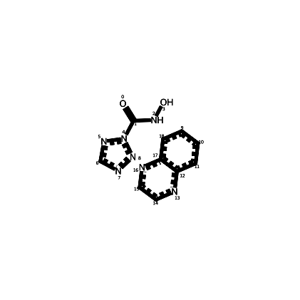 O=C(NO)n1ncnn1.c1ccc2nccnc2c1